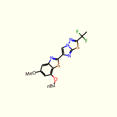 CCCCOc1cc(OC)cc2nc(-c3cn4nc(C(C)(F)F)sc4n3)sc12